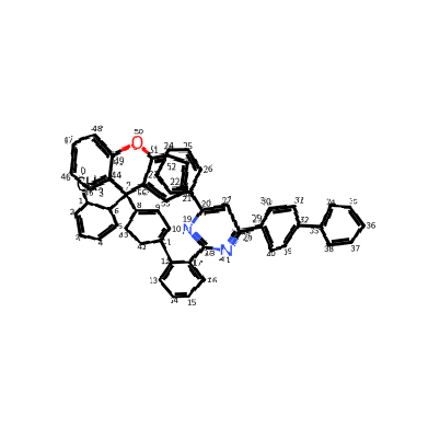 CC1C=CC=CC1C1(C2=CC=C(c3ccccc3-c3nc(C4=CCCC=C4)cc(-c4ccc(-c5ccccc5)cc4)n3)CC2)c2ccccc2Oc2ccccc21